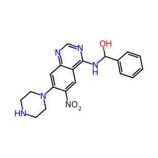 O=[N+]([O-])c1cc2c(NC(O)c3ccccc3)ncnc2cc1N1CCNCC1